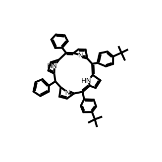 CC(C)(C)c1ccc(/C2=c3\cc/c([nH]3)=C(\c3ccc(C(C)(C)C)cc3)C3=NC(C=C3)C(c3ccccc3)c3ccc([nH]3)/C(c3ccccc3)=C3/C=CC2=N3)cc1